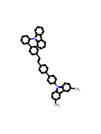 Cc1ccc2c(c1)c1cc(C)ccc1n2-c1ccc(-c2ccc(/C=C/c3ccc(-c4ccccc4-n4c5ccccc5c5ccccc54)cc3)cc2)cc1